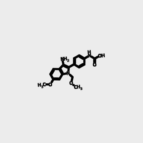 COCn1c(-c2ccc(NC(=O)O)cc2)c(N)c2ccc(OC)cc21